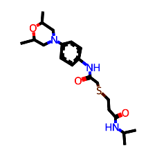 CC(C)NC(=O)CCSCC(=O)Nc1ccc(N2CC(C)OC(C)C2)cc1